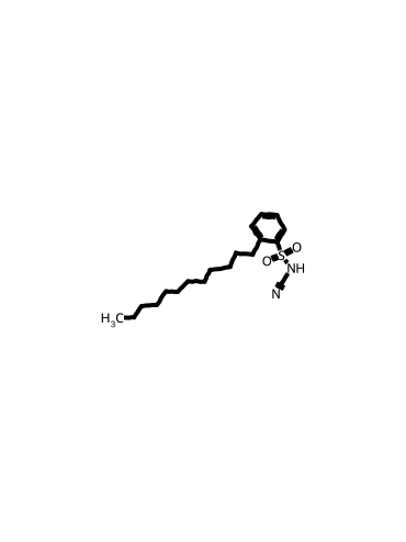 CCCCCCCCCCCCc1ccccc1S(=O)(=O)NC#N